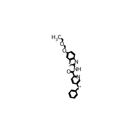 CCOCOc1ccc2nc(NC(=O)c3ccc([I+]c4ccccc4)cn3)sc2c1